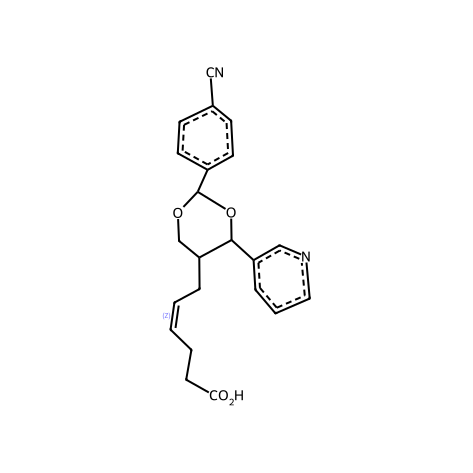 N#Cc1ccc(C2OCC(C/C=C\CCC(=O)O)C(c3cccnc3)O2)cc1